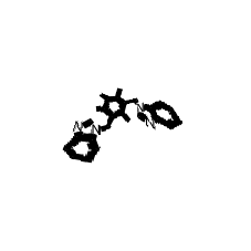 Cc1c(C)c(Cn2cnc3ccccc32)c(C)c(Cn2cnc3ccccc32)c1C